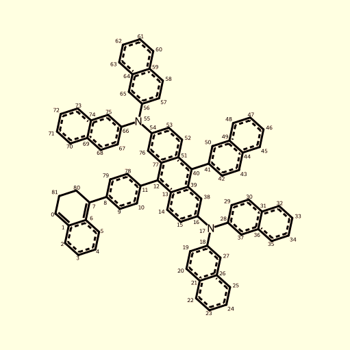 C1=c2ccccc2=C(c2ccc(-c3c4ccc(N(c5ccc6ccccc6c5)c5ccc6ccccc6c5)cc4c(-c4ccc5ccccc5c4)c4ccc(N(c5ccc6ccccc6c5)c5ccc6ccccc6c5)cc34)cc2)CC1